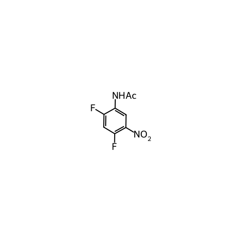 CC(=O)Nc1cc([N+](=O)[O-])c(F)cc1F